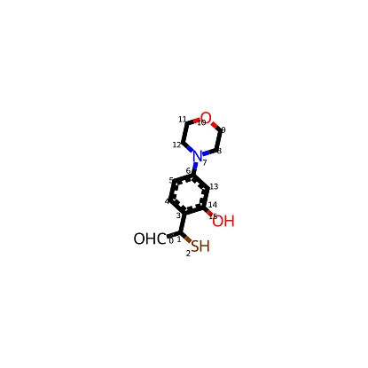 O=CC(S)c1ccc(N2CCOCC2)cc1O